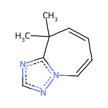 CC1(C)C=CC=Cn2ncnc21